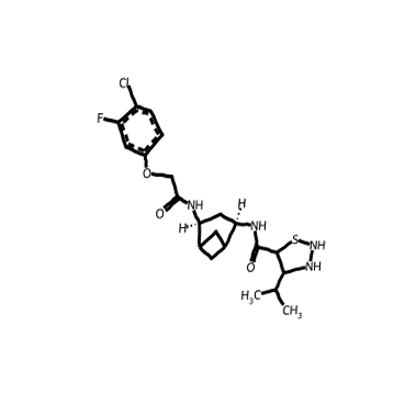 CC(C)C1NNSC1C(=O)N[C@@H]1C[C@H](NC(=O)COc2ccc(Cl)c(F)c2)C2CC1C2